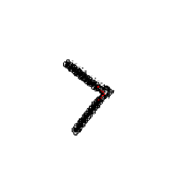 O=P([O-])([O-])[O-].O=P([O-])([O-])[O-].O=P([O-])([O-])[O-].O=P([O-])([O-])[O-].O=P([O-])([O-])[O-].O=P([O-])([O-])[O-].O=P([O-])([O-])[O-].O=P([O-])([O-])[O-].O=P([O-])([O-])[O-].O=P([O-])([O-])[O-].O=P([O-])([O-])[O-].O=P([O-])([O-])[O-].O=P([O-])([O-])[O-].O=P([O-])([O-])[O-].O=P([O-])([O-])[O-].O=P([O-])([O-])[O-].O=P([O-])([O-])[O-].O=P([O-])([O-])[O-].O=P([O-])([O-])[O-].O=P([O-])([O-])[O-].[C+4].[C+4].[C+4].[C+4].[C+4].[C+4].[C+4].[C+4].[C+4].[C+4].[C+4].[C+4].[C+4].[C+4].[C+4]